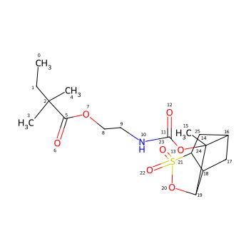 CCC(C)(C)C(=O)OCCNC(=O)OC1(C)C2CC3C1OS(=O)(=O)C3C2